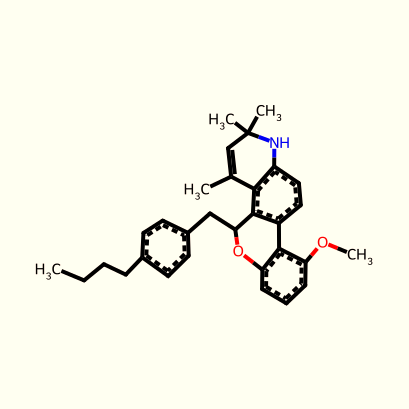 CCCCc1ccc(CC2Oc3cccc(OC)c3-c3ccc4c(c32)C(C)=CC(C)(C)N4)cc1